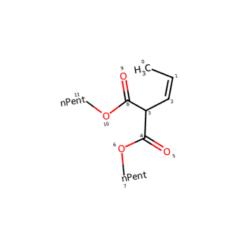 C/C=C\C(C(=O)OCCCCC)C(=O)OCCCCC